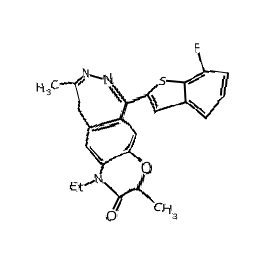 CCN1C(=O)C(C)Oc2cc3c(cc21)CC(C)=NN=C3c1cc2cccc(F)c2s1